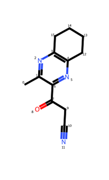 Cc1nc2c(nc1C(=O)CC#N)CCCC2